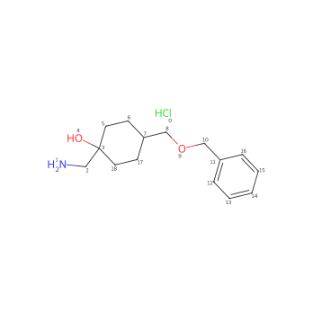 Cl.NCC1(O)CCC(COCc2ccccc2)CC1